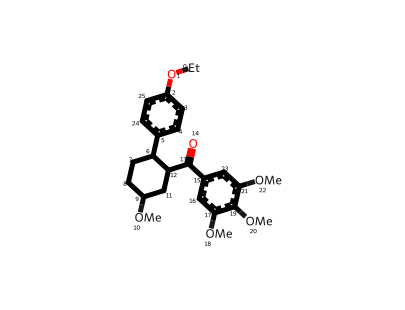 CCOc1ccc(C2CCC(OC)CC2C(=O)c2cc(OC)c(OC)c(OC)c2)cc1